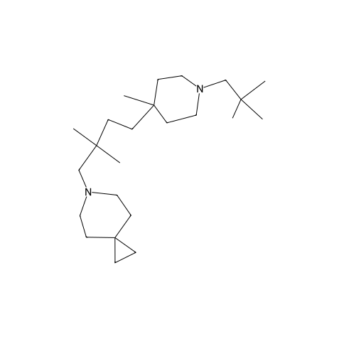 CC(C)(C)CN1CCC(C)(CCC(C)(C)CN2CCC3(CC2)CC3)CC1